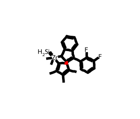 CC1=C(C)C(C)[C]([Zr]([CH3])([CH3])(=[SiH2])[CH]2C=C(c3cccc(F)c3F)c3ccccc32)=C1C